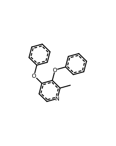 Cc1nccc(Oc2ccccc2)c1Oc1ccccc1